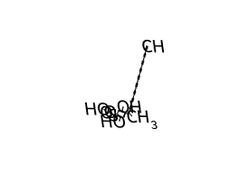 C#CC#CC#CC#CC#CC#CC#CC#CC#CC(C)c1cc(O)c(SOOO)cc1O